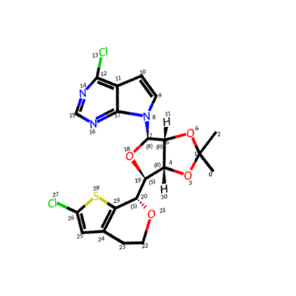 CC1(C)O[C@H]2[C@@H](O1)[C@H](n1ccc3c(Cl)ncnc31)O[C@@H]2[C@@H]1OCCc2cc(Cl)sc21